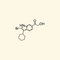 O=C(CO)c1ccc2c(C3CCCCC3)c(Br)[nH]c2c1